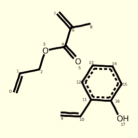 C=CCOC(=O)C(=C)C.C=Cc1ccccc1O